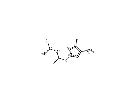 Cc1nn(C[C@@H](C)OC(F)F)cc1N